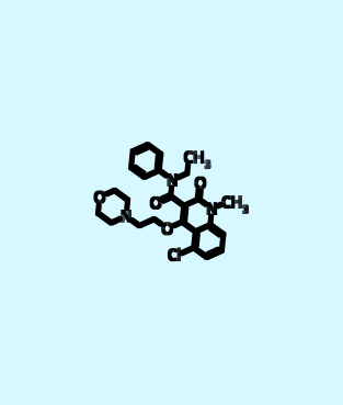 CCN(C(=O)c1c(OCCN2CCOCC2)c2c(Cl)cccc2n(C)c1=O)c1ccccc1